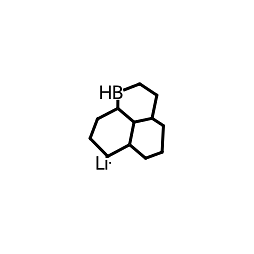 B1CCC2CCCC3CCCC1C23.[Li]